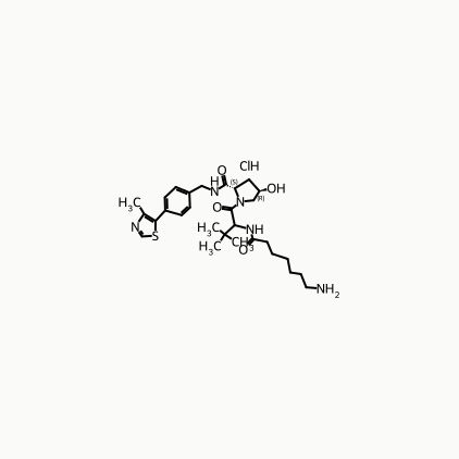 Cc1ncsc1-c1ccc(CNC(=O)[C@@H]2C[C@@H](O)CN2C(=O)C(NC(=O)CCCCCCN)C(C)(C)C)cc1.Cl